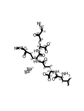 CC(C)C[C@H](N)C(=O)N[C@@H](CCC(=O)N[C@@H](CCC(=O)C=[N+]=[N-])C(=O)N[C@@H](CCC(=O)C=[N+]=[N-])C(=O)[O-])C(=O)[O-].[Na+].[Na+]